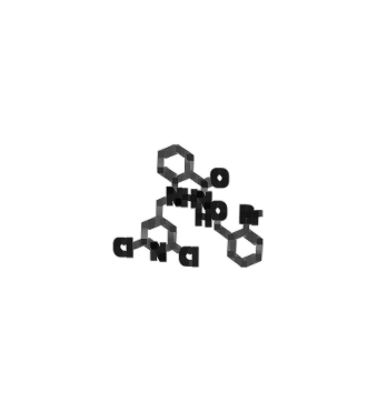 O=C(NOCc1ccccc1Br)c1ccccc1NCc1cc(Cl)nc(Cl)c1